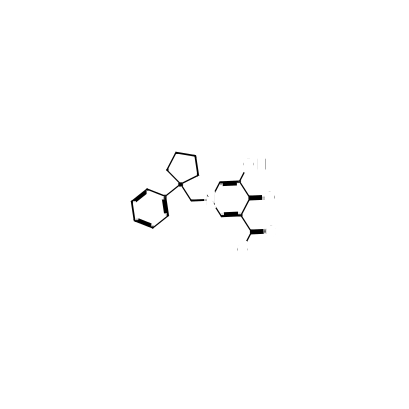 O=C(O)c1cn(CC2(c3ccccc3)CCCC2)cc(O)c1=O